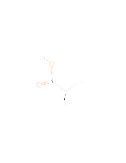 CC(C)[C@H](C)C(=O)OC(C)(C)C